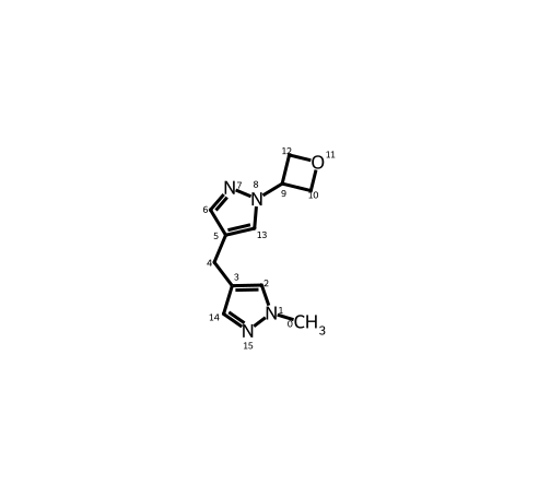 Cn1cc(Cc2cnn(C3COC3)c2)cn1